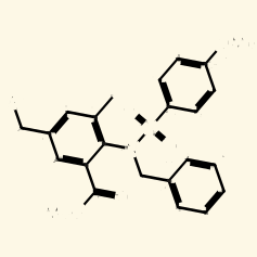 COC(=O)c1cc(CC(C)=O)cc(C)c1N(Cc1ccccc1)S(=O)(=O)c1ccc(OC)cc1